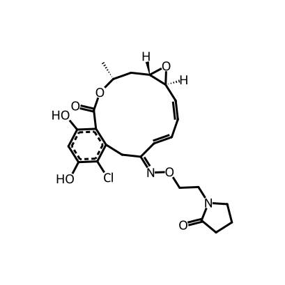 C[C@@H]1C[C@@H]2O[C@H]2\C=C/C=C/C(=N\OCCN2CCCC2=O)Cc2c(Cl)c(O)cc(O)c2C(=O)O1